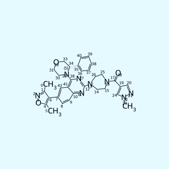 Cc1noc(C)c1-c1ccc2nc(N3CCN(C(=O)c4cnn(C)c4)CC3)nc(N3CCOC[C@@H]3c3ccccc3)c2c1